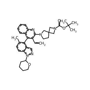 C=Cc1c(N2CCC3(CN(C(=O)OC(C)(C)C)C3)C2)nc2ccccc2c1-c1c(C)ccc2c1cnn2C1CCCCO1